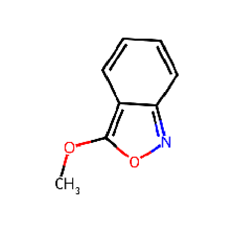 COc1onc2ccccc12